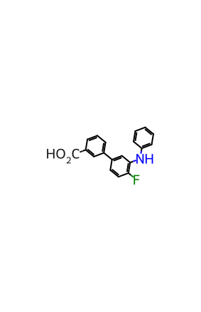 O=C(O)c1cccc(-c2ccc(F)c(Nc3ccccc3)c2)c1